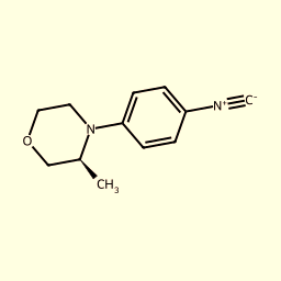 [C-]#[N+]c1ccc(N2CCOC[C@@H]2C)cc1